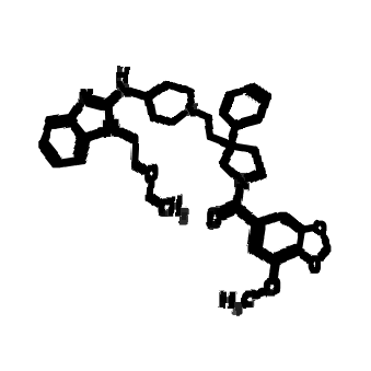 CCOCCn1c(NC2CCN(CCC3(c4ccccc4)CCN(C(=O)c4cc(OC)c5c(c4)OCO5)C3)CC2)nc2ccccc21